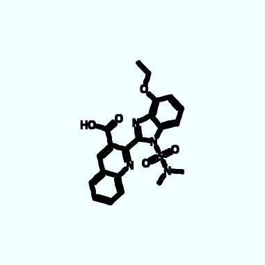 CCOc1cccc2c1nc(-c1nc3ccccc3cc1C(=O)O)n2S(=O)(=O)N(C)C